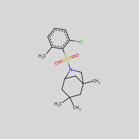 Cc1cccc(Cl)c1S(=O)(=O)N1CC2(C)CC1CC(C)(C)C2